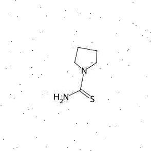 NC(=S)N1CCCC1